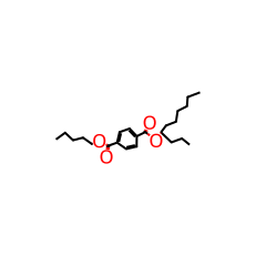 CCCCCCC(CCC)OC(=O)c1ccc(C(=O)OCCCCC)cc1